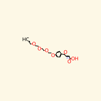 C#CCOCCOCCOCCOc1ccc(C(=O)/C=C/C(=O)O)cc1